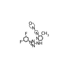 Cc1ccc(Nc2ncn(-c3cc(F)cc(F)c3)n2)nc1N1CC(N2CCOCC2)C1